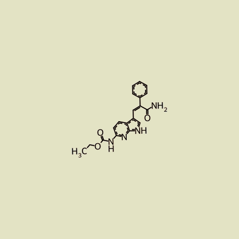 CCOC(=O)Nc1ccc2c(C=C(C(N)=O)c3ccccc3)c[nH]c2n1